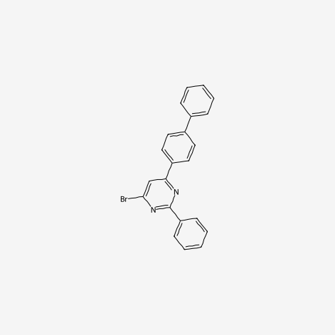 Brc1cc(-c2ccc(-c3ccccc3)cc2)nc(-c2ccccc2)n1